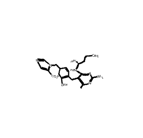 CCC[C@@H](CCO)Nc1nc(N)nc(C)c1CC1=C(OC)CC(Cn2cncc2C(=O)O)C=C1